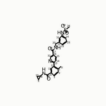 Cc1ccc(C(=O)NC2CC2)cc1-c1ccc(C(=O)NCc2cccc(NS(C)(=O)=O)c2)cn1